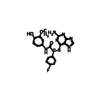 COc1cc(NC(=O)[C@@H](Sc2nc(N)nc3nc[nH]c23)c2ccc(F)cc2)ccc1O